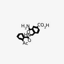 CC(=O)c1ccccc1C(=O)NCc1ccc(C(=O)O)cc1C(N)=O